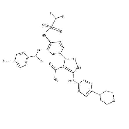 CC(Oc1cc(-c2n[nH]c(Nc3ccc(C4CCOCC4)cn3)c2C(N)=O)ccc1NS(=O)(=O)C(F)F)c1ccc(F)cc1